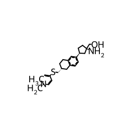 C=N/C=C\C(=C/C)SC[C@@H]1CCc2cc([C@H]3CC[C@](N)(CO)C3)ccc2C1